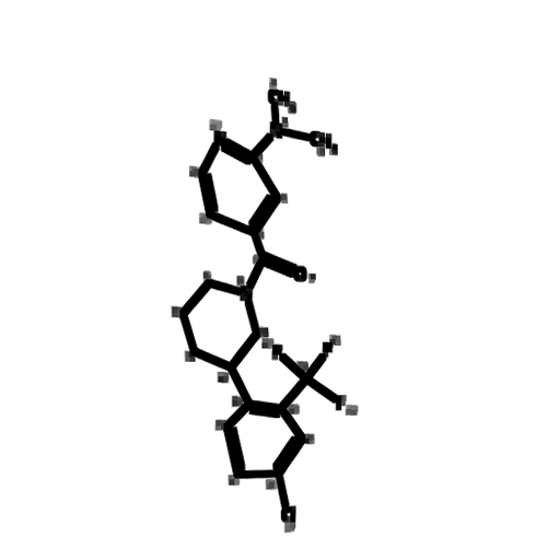 CN(C)c1cc(C(=O)N2CCCC(c3ccc(Cl)cc3C(F)(F)F)C2)ccn1